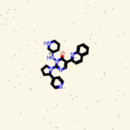 O=c1c(-c2ccc3ccccc3n2)cnc(N2CCCC2c2ccncc2)n1N[C@@H]1CCCNC1